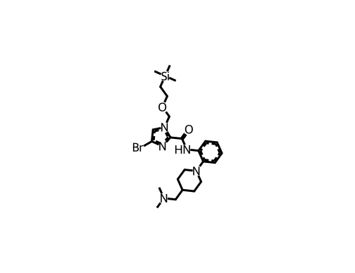 CN(C)CC1CCN(c2ccccc2NC(=O)c2nc(Br)cn2COCC[Si](C)(C)C)CC1